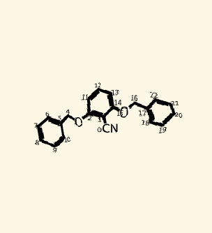 N#Cc1c(OCc2ccccc2)cccc1OCc1ccccc1